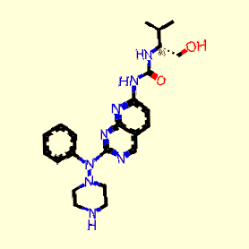 CC(C)[C@H](CO)NC(=O)Nc1ccc2cnc(N(c3ccccc3)N3CCNCC3)nc2n1